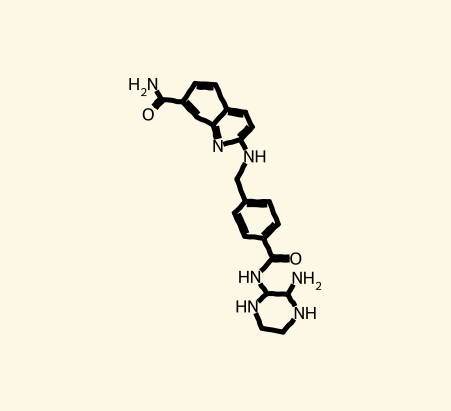 NC(=O)c1ccc2ccc(NCc3ccc(C(=O)NC4NCCNC4N)cc3)nc2c1